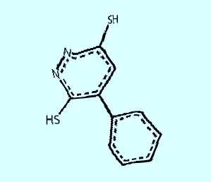 Sc1cc(-c2ccccc2)c(S)nn1